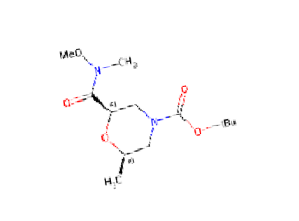 CON(C)C(=O)[C@H]1CN(C(=O)OC(C)(C)C)C[C@@H](C)O1